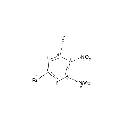 CNc1cc(Br)cc(F)c1[N+](=O)[O-]